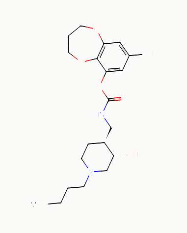 COCCCN1CC[C@@H](CNC(=O)Oc2cc(C)cc3c2OCCCO3)[C@H](O)C1